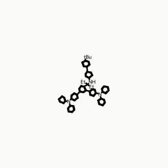 CCC(CC)(Nc1ccc(-c2ccc(C(C)(C)C)cc2)cc1)c1ccc(-c2ccc(N(c3ccccc3)c3ccccc3)cc2)cc1-c1ccc(N(c2ccccc2)c2ccccc2)cc1